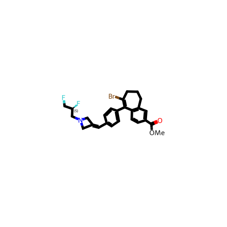 COC(=O)c1ccc2c(c1)CCCC(Br)=C2c1ccc(C=C2CN(C[C@H](F)CF)C2)cc1